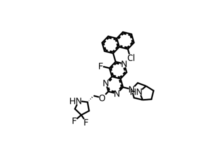 Fc1c(-c2cccc3cccc(Cl)c23)ncc2c(N3CC4CCC(C3)N4)nc(OC[C@@H]3CC(F)(F)CN3)nc12